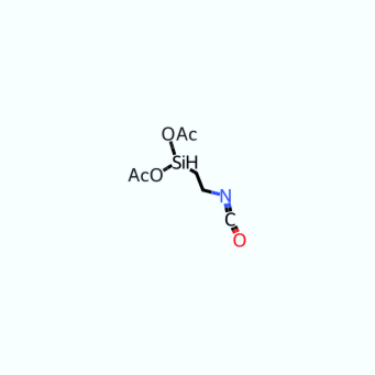 CC(=O)O[SiH](CCN=C=O)OC(C)=O